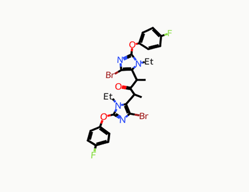 CCn1c(Oc2ccc(F)cc2)nc(Br)c1C(C)C(=O)C(C)c1c(Br)nc(Oc2ccc(F)cc2)n1CC